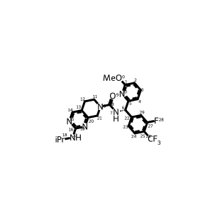 COc1cccc([C@@H](NC(=O)N2CCc3cnc(NC(C)C)nc3C2)c2ccc(C(F)(F)F)c(F)c2)n1